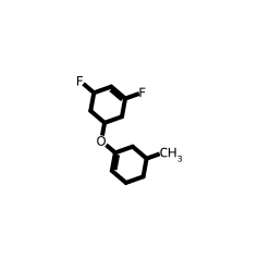 CC1CCC=C(OC2CC(F)=CC(F)C2)C1